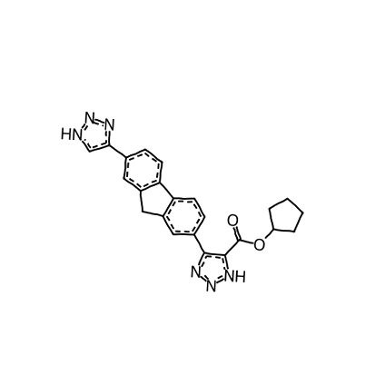 O=C(OC1CCCC1)c1[nH]nnc1-c1ccc2c(c1)Cc1cc(-c3c[nH]nn3)ccc1-2